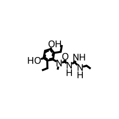 CCNC(=N)NC(=O)N(C)c1c(CC)c(O)cc(O)c1CC